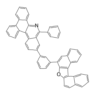 c1ccc(-c2nc3c4ccccc4c4ccccc4c3c3ccc(-c4cccc(-c5cc6ccccc6c6c5oc5ccc7ccccc7c56)c4)cc23)cc1